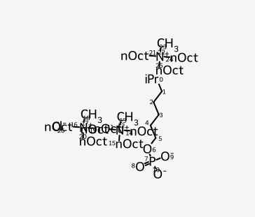 CC(C)CCCCCOP(=O)([O-])[O-].CCCCCCCC[N+](C)(CCCCCCCC)CCCCCCCC.CCCCCCCC[N+](C)(CCCCCCCC)CCCCCCCC.CCCCCCCC[N+](C)(CCCCCCCC)CCCCCCCC.[Cl-]